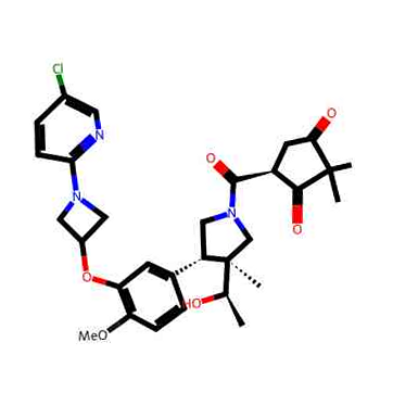 COc1ccc([C@@H]2CN(C(=O)[C@H]3CC(=O)C(C)(C)C3=O)C[C@@]2(C)[C@@H](C)O)cc1OC1CN(c2ccc(Cl)cn2)C1